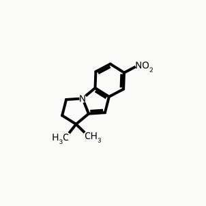 CC1(C)CCn2c1cc1cc([N+](=O)[O-])ccc12